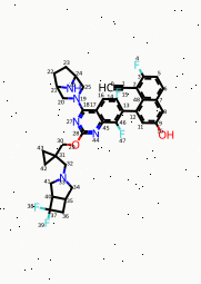 C#Cc1c(F)ccc2cc(O)cc(-c3c(F)cc4c(N5CC6CCC(C5)N6)nc(OCC5(CN6CC7CC(F)(F)C7C6)CC5)nc4c3F)c12